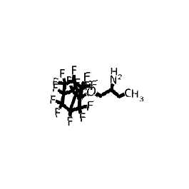 CCC(N)COC12C(F)(F)C3(F)C(F)(F)C(F)(C(F)(F)C(F)(C3(F)F)C1(F)F)C2(F)F